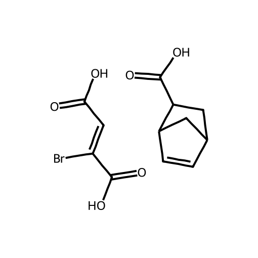 O=C(O)C1CC2C=CC1C2.O=C(O)C=C(Br)C(=O)O